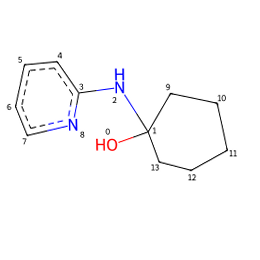 OC1(Nc2ccccn2)CCCCC1